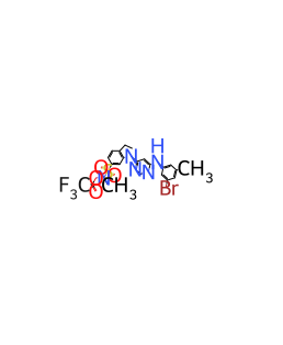 Cc1cc(Br)cc(Nc2cc(N3CCc4ccc(S(=O)(=O)N(C)OC(=O)C(F)(F)F)cc43)ncn2)c1